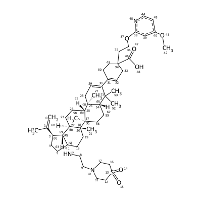 C=C(C)[C@@H]1CC[C@]2(NCCN3CCS(=O)(=O)CC3)CC[C@]3(C)[C@H](CC[C@@H]4[C@@]5(C)CC=C(C6=CCC(CCOc7cc(OC)ccn7)(C(=O)O)CC6)C(C)(C)[C@@H]5CC[C@]43C)[C@@H]12